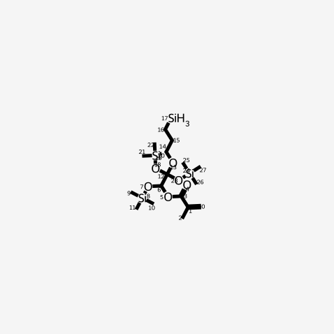 C=C(C)C(=O)OC(O[Si](C)(C)C)C(OCCC[SiH3])(O[Si](C)(C)C)O[Si](C)(C)C